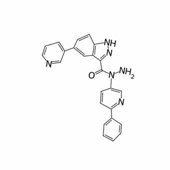 NN(C(=O)c1n[nH]c2ccc(-c3cccnc3)cc12)c1ccc(-c2ccccc2)nc1